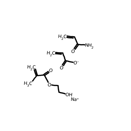 C=C(C)C(=O)OCCO.C=CC(=O)[O-].C=CC(N)=O.[Na+]